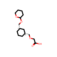 O=C(O)COC[C@@H]1CCC[C@H](COC2CCCCO2)C1